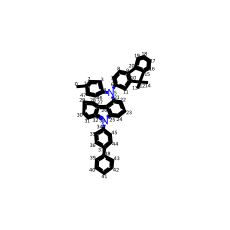 Cc1ccc(N(c2ccc3c(c2)C(C)(C)c2ccccc2-3)c2cccc3c2c2ccccc2n3-c2ccc(-c3ccccc3)cc2)cc1